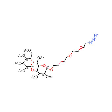 CC(=O)OCC1O[C@@H](OCCOCCOCCOCCN=[N+]=[N-])[C@@H](OC(C)=O)C(OC(C)=O)[C@@H]1O[C@@H]1OC(COC(C)=O)[C@H](OC(C)=O)C(OC(C)=O)[C@@H]1OC(C)=O